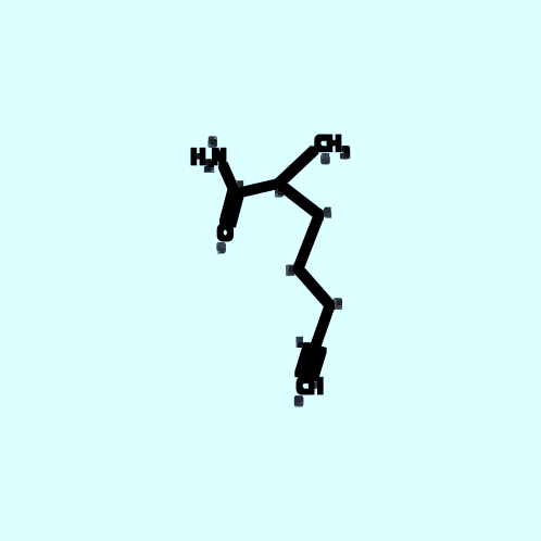 C#CCCCC(C)C(N)=O